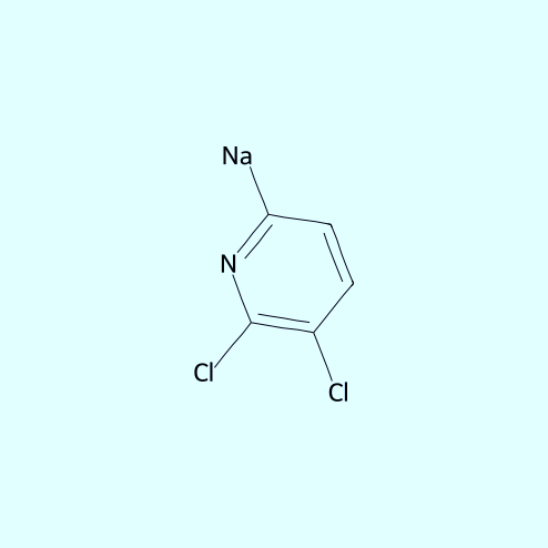 [Na][c]1ccc(Cl)c(Cl)n1